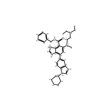 CCN(CC)CCN(C)c1cc(-c2ccc3c(c2)ncn3C2CCCCC2)c2nc[nH]c2c1C(=O)OCc1ccccc1